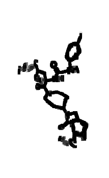 Cc1ncc2n1C(=O)N(C1CCN(C(=O)[C@@H](CC(C)C)NC(=O)Nc3ccc(I)cc3)CC1)C2